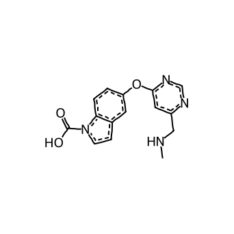 CNCc1cc(Oc2ccc3c(ccn3C(=O)O)c2)ncn1